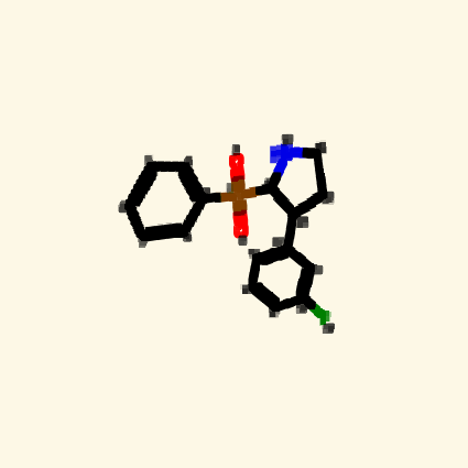 O=S(=O)(c1ccccc1)C1NCCC1c1cccc(F)c1